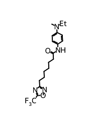 CCN(C)c1ccc(NC(=O)CCCCCCc2noc(C(F)(F)F)n2)cc1